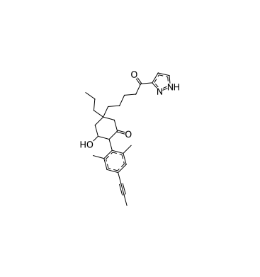 CC#Cc1cc(C)c(C2C(=O)CC(CCC)(CCCCC(=O)c3cc[nH]n3)CC2O)c(C)c1